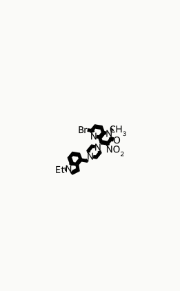 CCn1ccc2c(CN3CCN(c4c([N+](=O)[O-])c(=O)n(C)c5ccc(Br)nc45)CC3)cccc21